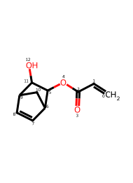 C=CC(=O)OC1C2C=CC(C2)C1O